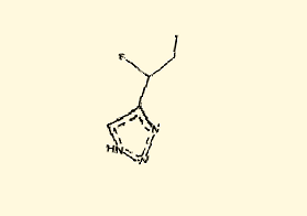 CC[C](F)c1c[nH]nn1